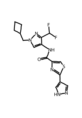 O=C(Nc1cn(CC2CCC2)nc1C(F)F)c1csc(-c2cn[nH]c2)n1